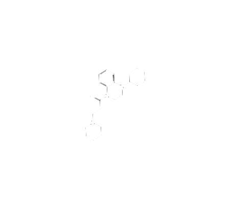 O=C(CCN1CCCCC1)N1CCN(C2CCCCC2)c2ccccc21